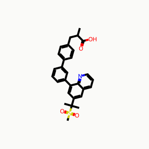 CC(Cc1ccc(-c2cccc(-c3cc(C(C)(C)S(C)(=O)=O)cc4cccnc34)c2)cc1)C(=O)O